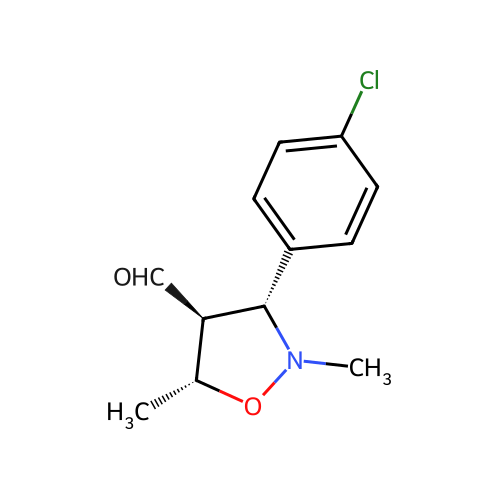 C[C@H]1ON(C)[C@@H](c2ccc(Cl)cc2)[C@@H]1C=O